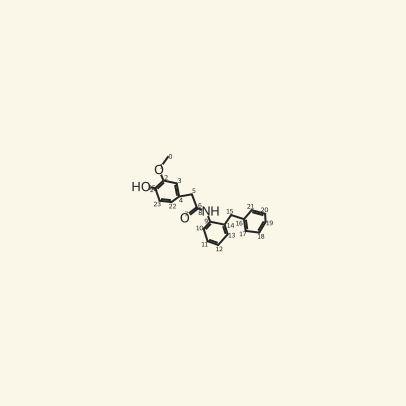 COc1cc(CC(=O)Nc2ccccc2Cc2ccccc2)ccc1O